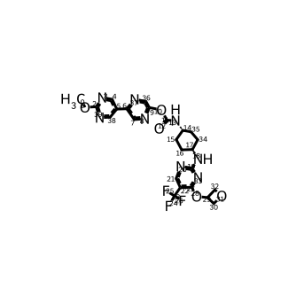 COc1ncc(-c2cnc(OC(=O)N[C@H]3CC[C@H](Nc4ncc(C(F)(F)F)c(OC5COC5)n4)CC3)cn2)cn1